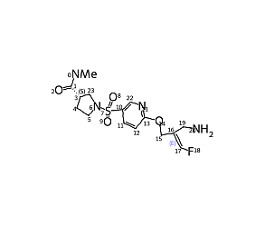 CNC(=O)[C@H]1CCN(S(=O)(=O)c2ccc(OC/C(=C/F)CN)nc2)C1